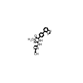 C#Cc1nc(NC(=O)NC(C(=O)NC)c2ccc(-c3cccc4ncsc34)cc2)cs1